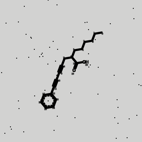 CCCCCCC(CC#CC#Cc1ccccc1)C(=O)O